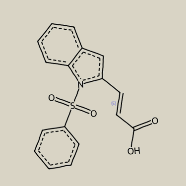 O=C(O)/C=C/c1cc2ccccc2n1S(=O)(=O)c1ccccc1